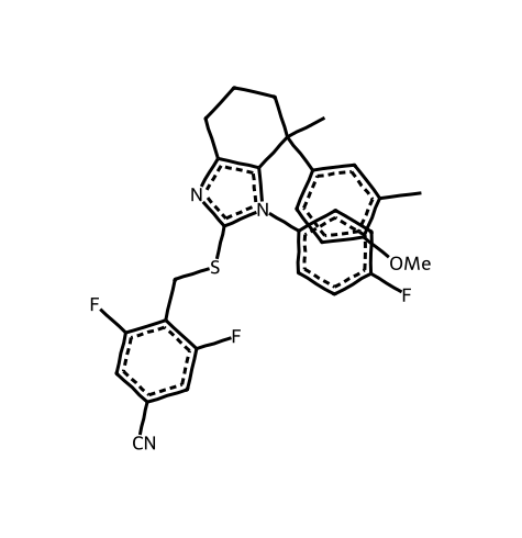 COc1ccc(C2(C)CCCc3nc(SCc4c(F)cc(C#N)cc4F)n(-c4ccc(F)cc4)c32)cc1C